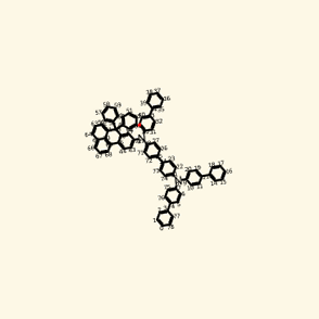 c1ccc(-c2ccc(N(c3ccc(-c4ccccc4)cc3)c3ccc(-c4ccc(N(c5ccc(-c6ccccc6)cc5)c5ccc6c(c5)C(c5ccccc5)(c5ccccc5)c5cccc7cccc-6c57)cc4)cc3)cc2)cc1